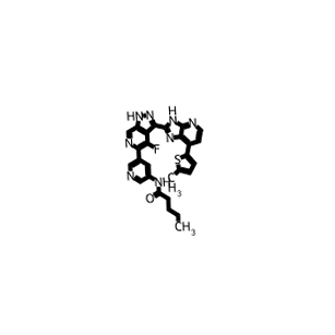 CCCCC(=O)Nc1cncc(-c2ncc3[nH]nc(-c4nc5c(-c6ccc(C)s6)ccnc5[nH]4)c3c2F)c1